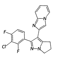 Fc1ccc(-c2nn3c(c2-c2cn4ccccc4n2)CCC3)c(F)c1Cl